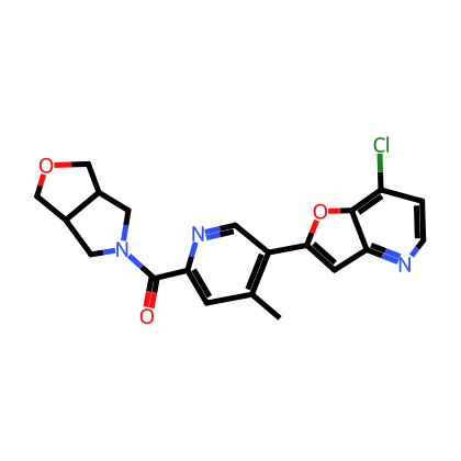 Cc1cc(C(=O)N2CC3COCC3C2)ncc1-c1cc2nccc(Cl)c2o1